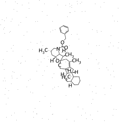 CC1=C2C[C@H]3[C@@H](CC[C@@H]4CCCC[C@@]43C)[C@@H]2CC[C@@]2(C1)O[C@@H]1C[C@H](C)CN(C(=O)OCc3ccccc3)[C@H]1[C@H]2C